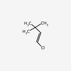 CC(C)(C)/C=C/Cl